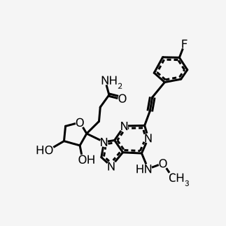 CONc1nc(C#Cc2ccc(F)cc2)nc2c1ncn2C1(CCC(N)=O)OCC(O)C1O